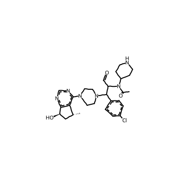 CC(=O)N(C1CCNCC1)C(C=O)C(c1ccc(Cl)cc1)N1CCN(c2ncnc3c2[C@H](C)C[C@H]3O)CC1